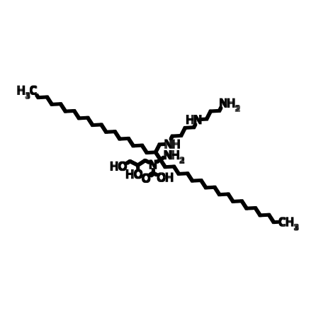 CCCCCCCCCCCCCCCCCCC(CNCCCCNCCCN)C(N)(CCCCCCCCCCCCCCCCCC)N(CC(O)CO)C(=O)O